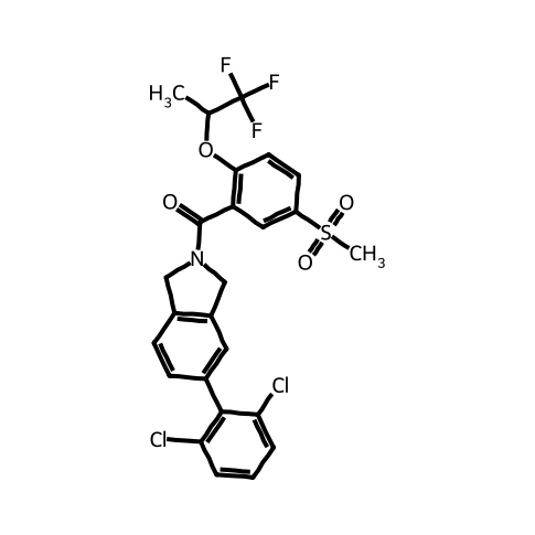 CC(Oc1ccc(S(C)(=O)=O)cc1C(=O)N1Cc2ccc(-c3c(Cl)cccc3Cl)cc2C1)C(F)(F)F